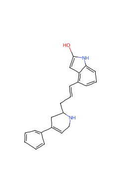 Oc1cc2c(C=CCC3CC(c4ccccc4)=CCN3)cccc2[nH]1